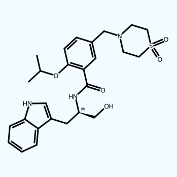 CC(C)Oc1ccc(CN2CCS(=O)(=O)CC2)cc1C(=O)N[C@@H](CO)Cc1c[nH]c2ccccc12